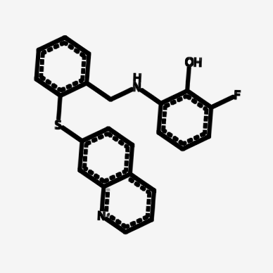 Oc1c(F)cccc1NCc1ccccc1Sc1ccc2cccnc2c1